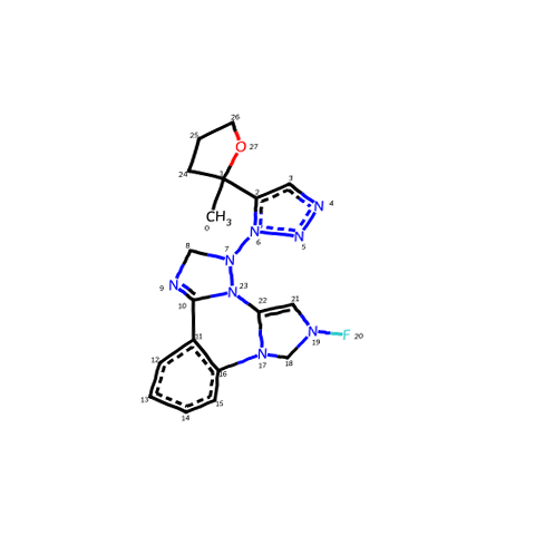 CC1(c2cnnn2N2CN=C3c4ccccc4N4CN(F)C=C4N32)CCCO1